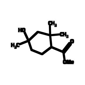 COC(=O)C1CCC(C)(O)CC1(C)C